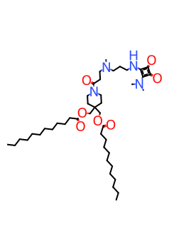 CCCCCCCCCCCC(=O)OCC1(COC(=O)CCCCCCCCCCC)CCN(C(=O)CCN(C)CCCNc2c(N(C)C)c(=O)c2=O)CC1